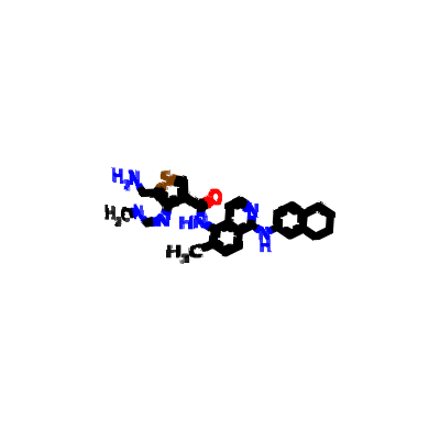 C=N/C=N\c1c(C(=O)Nc2c(C)ccc3c(Nc4ccc5c(c4)CCCC5)nccc23)csc1CN